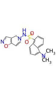 CN(C)c1cccc2c(S(=O)(=O)NN3C=Cc4oncc4C3)cccc12